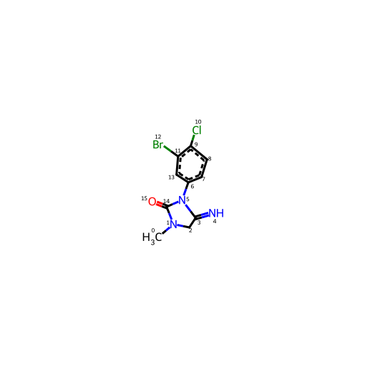 CN1CC(=N)N(c2ccc(Cl)c(Br)c2)C1=O